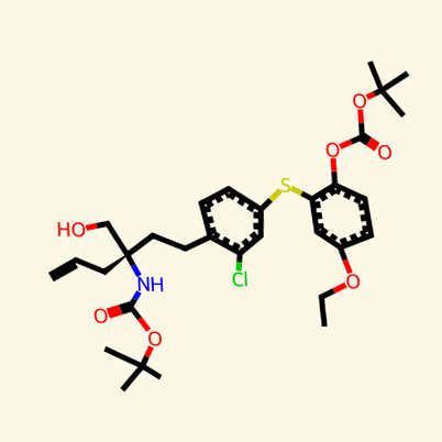 C=CC[C@@](CO)(CCc1ccc(Sc2cc(OCC)ccc2OC(=O)OC(C)(C)C)cc1Cl)NC(=O)OC(C)(C)C